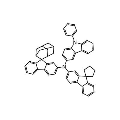 c1ccc(-n2c3ccccc3c3cc(N(c4ccc5c(c4)C4(CCCC4)c4ccccc4-5)c4ccc5c(c4)C4(c6ccccc6-5)C5CC6CC(C5)CC4C6)ccc32)cc1